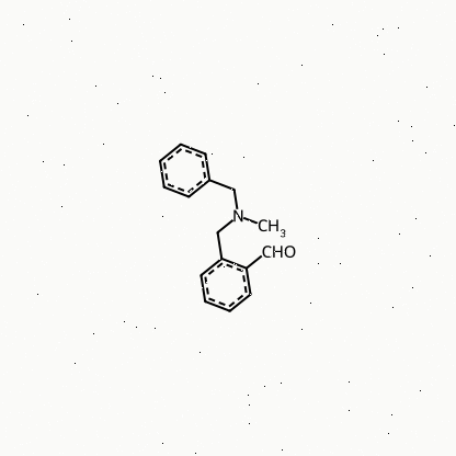 CN(Cc1ccccc1)Cc1ccccc1C=O